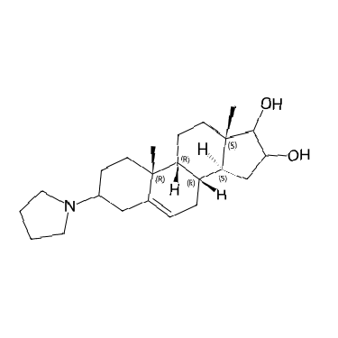 C[C@]12CCC(N3CCCC3)CC1=CC[C@@H]1[C@H]2CC[C@]2(C)C(O)C(O)C[C@@H]12